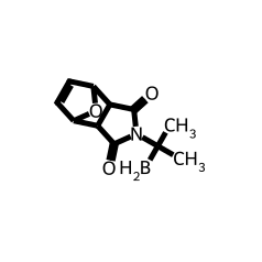 BC(C)(C)N1C(=O)C2C3C=CC(O3)C2C1=O